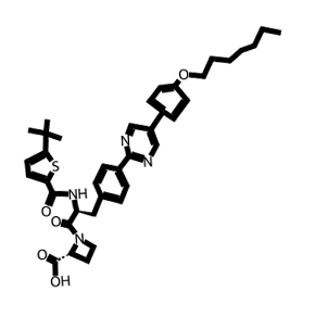 CCCCCCCOc1ccc(-c2cnc(-c3ccc(C[C@H](NC(=O)c4ccc(C(C)(C)C)s4)C(=O)N4CC[C@@H]4C(=O)O)cc3)nc2)cc1